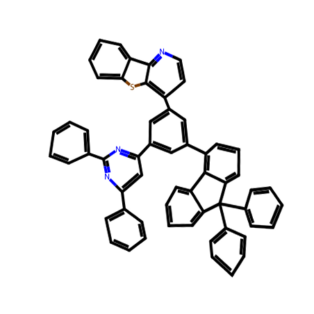 c1ccc(-c2cc(-c3cc(-c4cccc5c4-c4ccccc4C5(c4ccccc4)c4ccccc4)cc(-c4ccnc5c4sc4ccccc45)c3)nc(-c3ccccc3)n2)cc1